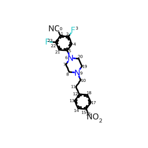 N#Cc1c(F)cc(N2CCN(CCc3ccc([N+](=O)[O-])cc3)CC2)cc1F